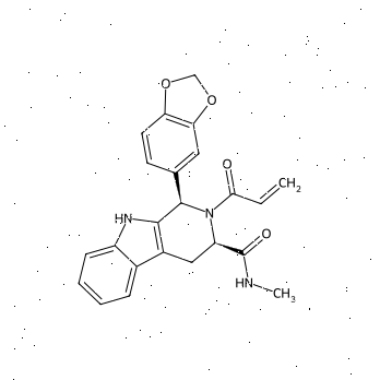 C=CC(=O)N1[C@H](c2ccc3c(c2)OCO3)c2[nH]c3ccccc3c2C[C@@H]1C(=O)NC